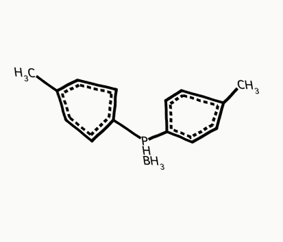 B.Cc1ccc(Pc2ccc(C)cc2)cc1